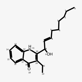 CCCCCCC=CC(O)c1[nH]c2ccccc2c(=O)c1CC